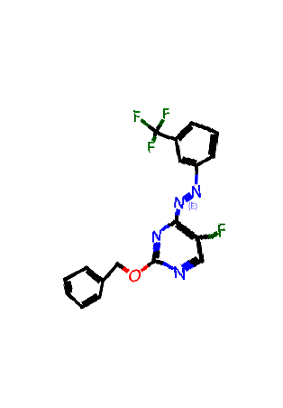 Fc1cnc(OCc2ccccc2)nc1/N=N/c1cccc(C(F)(F)F)c1